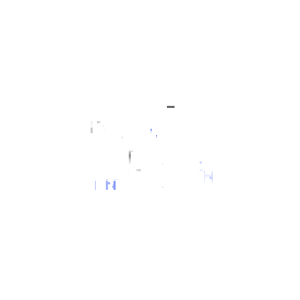 CC(C)c1c(N)c2ccncc2n1C